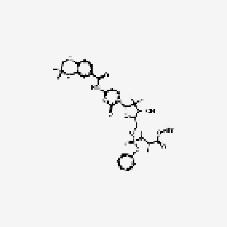 CC(C)OC(=O)[C@@H](C)NP(=O)(OC[C@H]1OC(n2ccc(NC(=O)c3ccc4c(c3)OC(C)(C)CO4)nc2=O)C(F)(F)[C@@H]1O)Oc1ccccc1